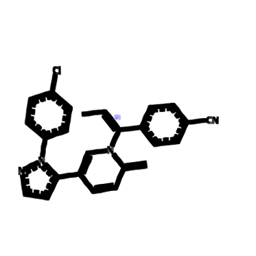 C=C1C=CC(c2ccnn2-c2ccc(Cl)cc2)=CN1/C(=C\C)c1ccc(C#N)cc1